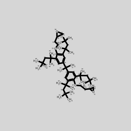 CC(C)(C)CC(C)(C)c1cc(C(C)(C)c2cc(C(C)(C)CC(C)(C)C)c(OCCC3CO3)c(C(C)(C)CC(C)(C)C)c2)cc(C(C)(C)CC(C)(C)C)c1OCCC1CO1